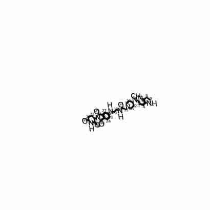 CN(c1ccc2c(n1)CCN2)C1CCN(CC(=O)NCCNc2ccc3c(c2)C(=O)N(C2CCC(=O)NC2=O)C3=O)CC1